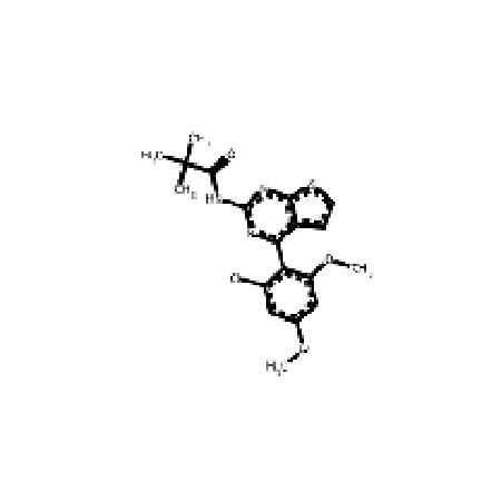 COc1cc(Cl)c(-c2nc(NC(=O)C(C)(C)C)nc3sccc23)c(OC)c1